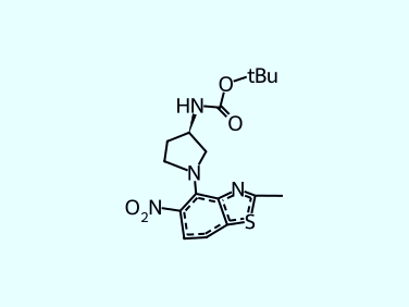 Cc1nc2c(N3CC[C@@H](NC(=O)OC(C)(C)C)C3)c([N+](=O)[O-])ccc2s1